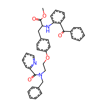 COC(=O)C(Cc1ccc(OCCN(Cc2ccccc2)C(=O)c2ccccn2)cc1)Nc1ccccc1C(=O)c1ccccc1